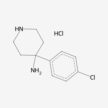 Cl.NC1(c2ccc(Cl)cc2)CCNCC1